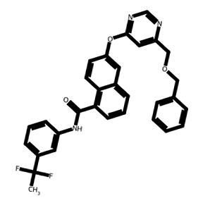 CC(F)(F)c1cccc(NC(=O)c2cccc3cc(Oc4cc(COCc5ccccc5)ncn4)ccc23)c1